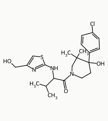 CC(C)C(Nc1nc(CO)cs1)C(=O)N1CCC(O)(c2ccc(Cl)cc2)C(C)(C)C1